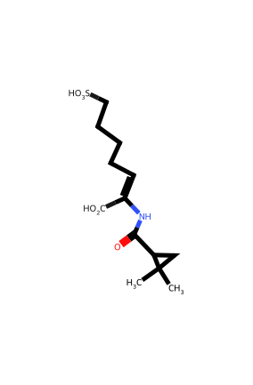 CC1(C)CC1C(=O)N/C(=C/CCCCS(=O)(=O)O)C(=O)O